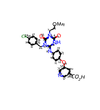 COCCn1c(=O)[nH]/c(=N\c2ccc(Oc3cncc(C(=O)O)c3)cc2)n(Cc2ccc(Cl)cc2)c1=O